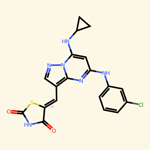 O=C1NC(=O)/C(=C/c2cnn3c(NC4CC4)cc(Nc4cccc(Cl)c4)nc23)S1